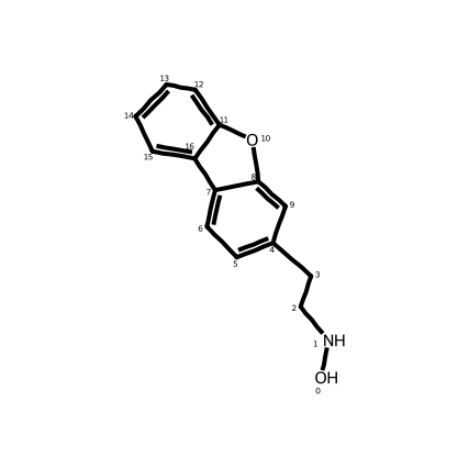 ONCCc1ccc2c(c1)oc1ccccc12